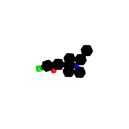 Clc1ccc2c(c1)oc1cc(-c3c4ccccc4c(N(c4ccccc4)c4ccc(-c5ccccc5)cc4)c4ccccc34)ccc12